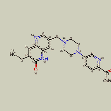 CNC(=O)c1ccc(N2CCN(Cc3cnc4cc(CC#N)c(=O)[nH]c4c3)CC2)cn1